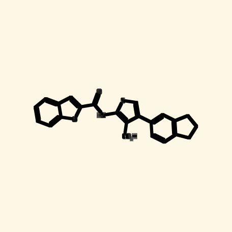 O=C(Nc1scc(-c2ccc3c(c2)CCC3)c1C(=O)O)c1cc2ccccc2o1